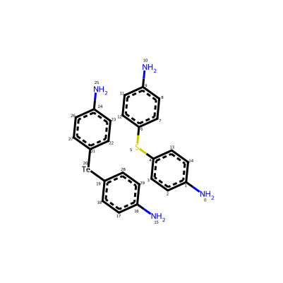 Nc1ccc(Sc2ccc(N)cc2)cc1.Nc1ccc([Te]c2ccc(N)cc2)cc1